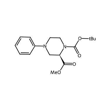 COC(=O)[C@H]1CN(c2ccccc2)CCN1C(=O)OC(C)(C)C